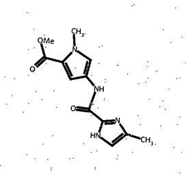 COC(=O)c1cc(NC(=O)c2nc(C)c[nH]2)cn1C